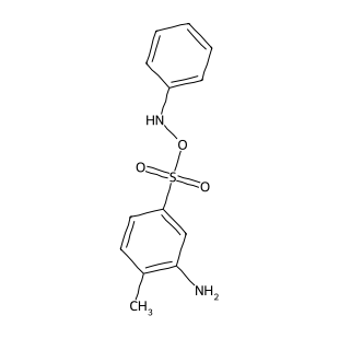 Cc1ccc(S(=O)(=O)ONc2ccccc2)cc1N